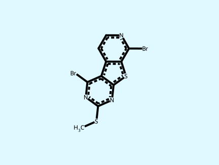 CSc1nc(Br)c2c(n1)sc1c(Br)nccc12